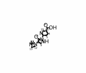 O=C(O)c1ccc(-n2[nH]cc(-n3ccnn3)c2=O)nc1